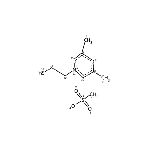 CS(=O)(=O)[O-].Cc1cc(C)c[n+](CCS)c1